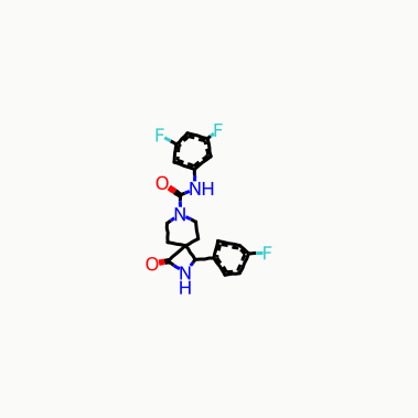 O=C(Nc1cc(F)cc(F)c1)N1CCC2(CC1)C(=O)NC2c1ccc(F)cc1